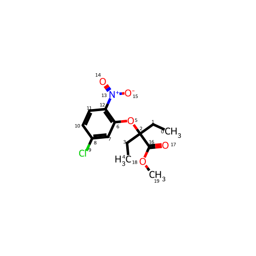 CCC(CC)(Oc1cc(Cl)ccc1[N+](=O)[O-])C(=O)OC